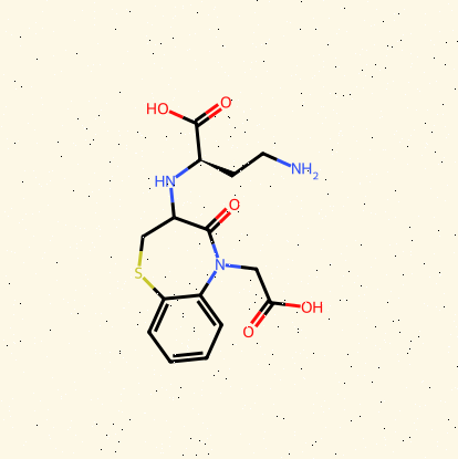 NCC[C@@H](NC1CSc2ccccc2N(CC(=O)O)C1=O)C(=O)O